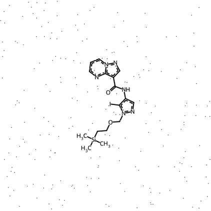 C[Si](C)(C)CCOCn1ncc(NC(=O)c2cnn3cccnc23)c1I